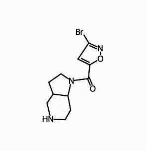 O=C(c1cc(Br)no1)N1CCC2CNCCC21